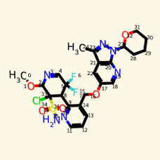 COC1N=CC(F)(F)C(c2ncccc2COc2cnc3c(c2)c(C)nn3C2CCCCO2)C1(Cl)S(N)(=O)=O